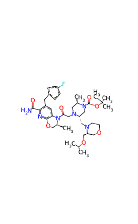 CC(C)OC[C@@H]1COCCN1C[C@H]1CN(C(=O)OC(C)(C)C)[C@H](C)CN1CC(=O)N1c2cc(Cc3ccc(F)cc3)c(C(N)=O)nc2OC[C@@H]1C